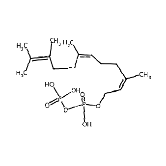 CC(=CCOP(=O)(O)OP(=O)(O)O)CCC=C(C)CCC(C)=C(C)C